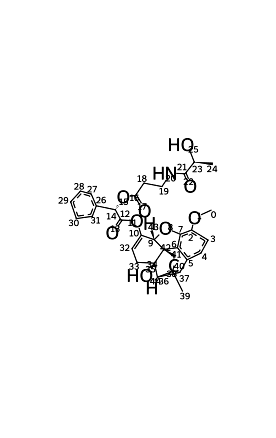 COc1ccc2c3c1O[C@H]1C(OC(=O)[C@@H](OC(=O)CCNC(=O)[C@H](C)O)c4ccccc4)=CC[C@@]4(O)[C@@H](C2)C(C)CC[C@]314